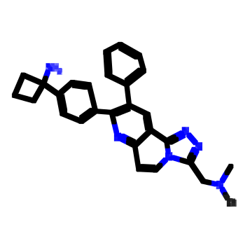 CCN(C)Cc1nnc2c3cc(-c4ccccc4)c(-c4ccc(C5(N)CCC5)cc4)nc3ccn12